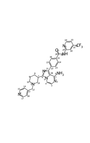 Nc1nccn2c(C3CCCN(Cc4ccncc4)C3)nc(-c3ccc(C(=O)Nc4cc(C(F)(F)F)ccn4)cc3)c12